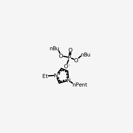 CCCCCn1cc[n+](CC)c1.CCCCOP(=O)([O-])OCCCC